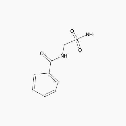 [NH]S(=O)(=O)CNC(=O)c1ccccc1